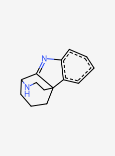 c1ccc2c(c1)N=C1C3CCCC12CCN3